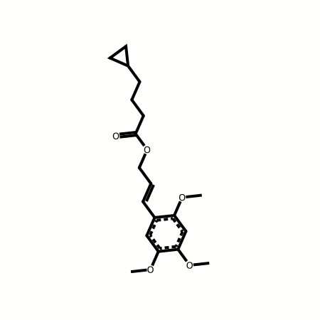 COc1cc(OC)c(OC)cc1/C=C/COC(=O)CCCC1CC1